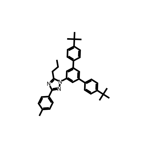 CCCc1nc(-c2ccc(C)cc2)nn1-c1cc(-c2ccc(C(C)(C)C)cc2)cc(-c2ccc(C(C)(C)C)cc2)c1